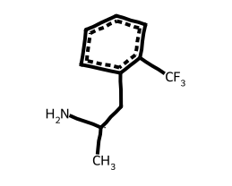 C[C](N)Cc1ccccc1C(F)(F)F